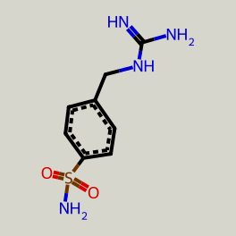 N=C(N)NCc1ccc(S(N)(=O)=O)cc1